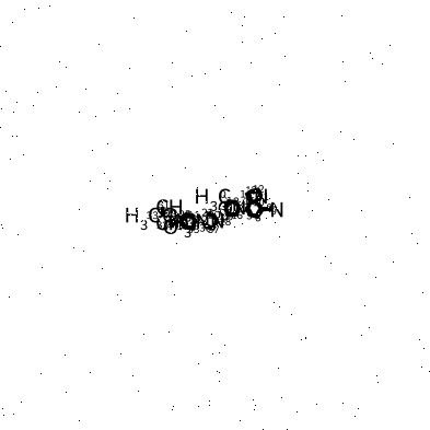 C[C@@H]1CN(c2ccc(C#N)c3ncccc23)C[C@H](CN2CCN(C3CCN(C(=O)OC(C)(C)C)CC3)CC2)O1